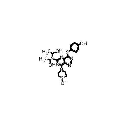 CC(O)N(c1nc(N2CC[S+]([O-])CC2)c2ncnc(Sc3ccc(O)cc3)c2n1)C(C)O